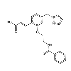 O=C(O)C=Cc1ccc(Cn2cccn2)cc1OCCNC(=O)c1ccccc1